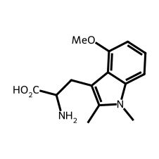 COc1cccc2c1c(CC(N)C(=O)O)c(C)n2C